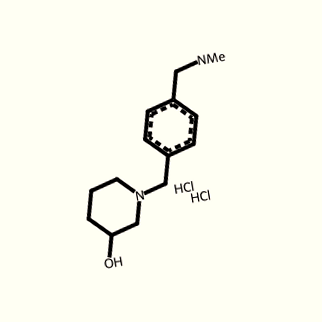 CNCc1ccc(CN2CCCC(O)C2)cc1.Cl.Cl